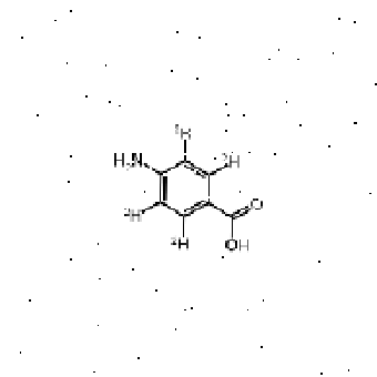 [2H]c1c([2H])c(C(=O)O)c([2H])c([2H])c1N